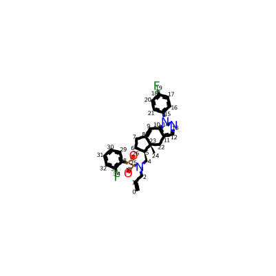 C=CCN(C[C@H]1CCC2=Cc3c(cnn3-c3ccc(F)cc3)C[C@@]21C)S(=O)(=O)c1ccccc1F